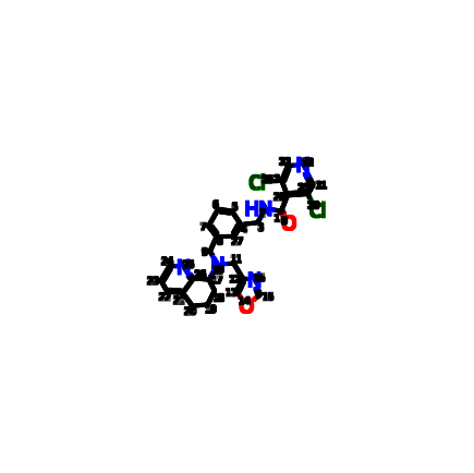 O=C(NCc1cccc(CN(Cc2cocn2)C2CCCc3cccnc32)c1)c1c(Cl)cncc1Cl